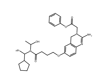 CCCC(C1CCCC1)N(C(=O)CCCOc1ccc2c(c1)CN(CC(=O)Oc1ccccc1)C(N)=N2)C(C)O